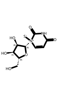 O=C1C=C[N+]([S-])([C@@H]2O[C@H](CO)[C@@H](O)[C@H]2O)C(=O)N1